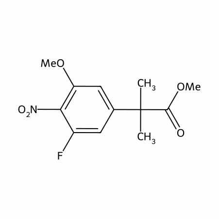 COC(=O)C(C)(C)c1cc(F)c([N+](=O)[O-])c(OC)c1